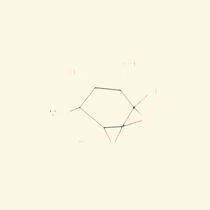 COC1[C@H](O)[C@H](O)C2(O)OC23O[C@@H]13